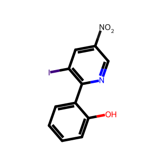 O=[N+]([O-])c1cnc(-c2ccccc2O)c(I)c1